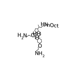 CCCCCCCCNCCCC(C)C1CC[C@H]2[C@@H]3[C@H](OCCCN)CC4C[C@H](OCCCN)CC[C@]4(C)[C@H]3CC[C@]12C